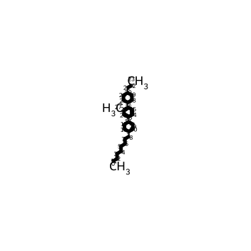 CCCCCCCCC[C@H]1CC[C@H](c2ccc([C@H]3CC[C@H](CCC)CC3)c(C)c2)CC1